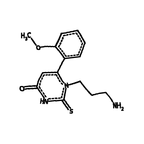 COc1ccccc1-c1cc(=O)[nH]c(=S)n1CCCN